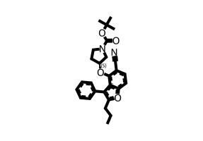 CCCc1oc2ccc(C#N)c(O[C@H]3CCN(C(=O)OC(C)(C)C)C3)c2c1-c1ccccc1